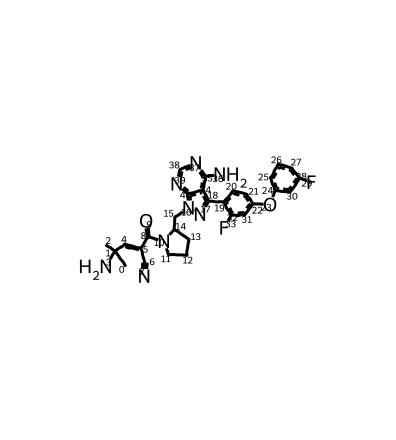 CC(C)(N)C=C(C#N)C(=O)N1CCCC1Cn1nc(-c2ccc(Oc3cccc(F)c3)cc2F)c2c(N)ncnc21